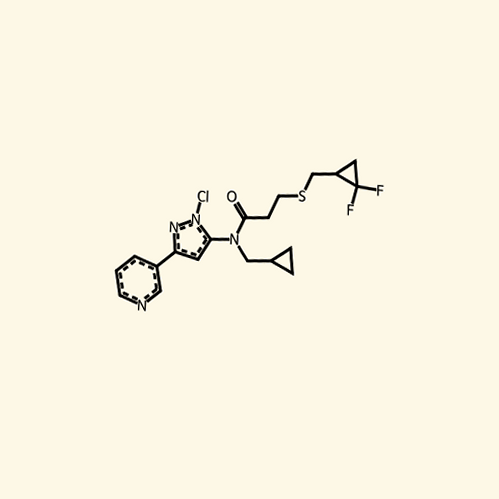 O=C(CCSCC1CC1(F)F)N(CC1CC1)c1cc(-c2cccnc2)nn1Cl